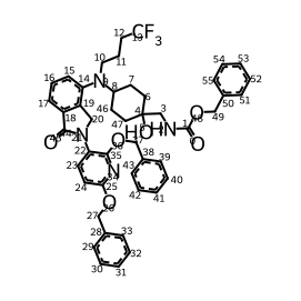 O=C(NCC1(O)CCC(N(CCCC(F)(F)F)c2cccc3c2CN(c2ccc(OCc4ccccc4)nc2OCc2ccccc2)C3=O)CC1)OCc1ccccc1